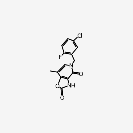 Cc1cn(Cc2cc(Cl)ccc2F)c(=O)c2[nH]c(=O)oc12